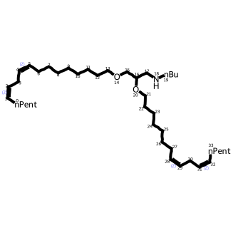 CCCCC/C=C\C/C=C\CCCCCCCCOCC(CNCCCC)OCCCCCCC/C=C\C/C=C\CCCCC